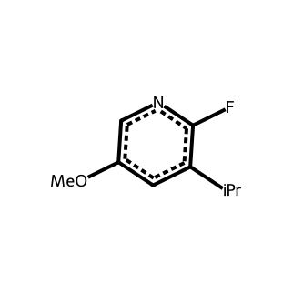 COc1cnc(F)c(C(C)C)c1